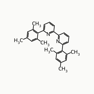 Cc1cc(C)c(-c2cccc(-c3cccc(-c4c(C)cc(C)cc4C)n3)n2)c(C)c1